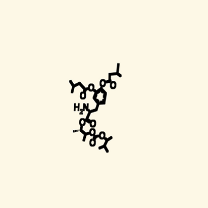 CC(C)CC(=O)Oc1ccc(C[C@H](N)C(=O)O[C@@H](C)C(C)OC(=O)OC(C)C(C)C)cc1OC(=O)CC(C)C